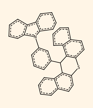 c1cc(C2c3c(ccc4ccccc34)Sc3ccc4ccccc4c32)cc(-n2c3ccccc3c3ccccc32)c1